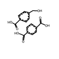 O=C(O)c1ccc(C(=O)O)cc1.O=C(O)c1ccc(CO)cc1